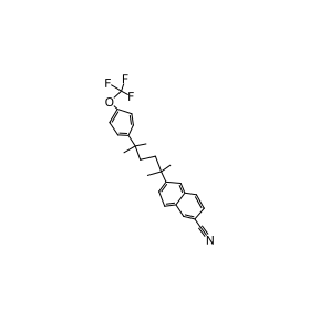 CC(C)(CCC(C)(C)c1ccc2cc(C#N)ccc2c1)c1ccc(OC(F)(F)F)cc1